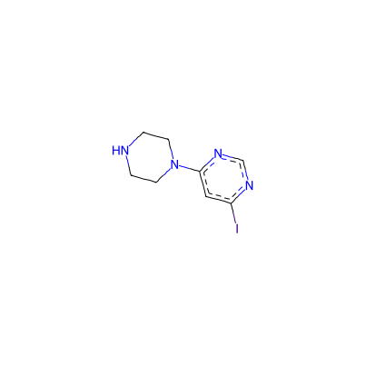 Ic1cc(N2CCNCC2)ncn1